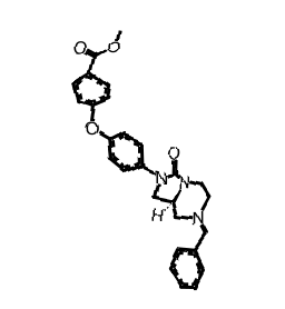 COC(=O)c1ccc(Oc2ccc(N3C[C@@H]4CN(Cc5ccccc5)CCN4C3=O)cc2)cc1